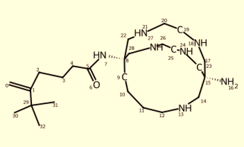 C=C(CCCC(=O)N[C@]12CCCCNC[C@](N)(CNCCNC1)CNCCNC2)C(C)(C)C